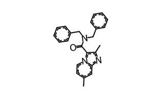 Cc1ccn2c(C(=O)N(Cc3ccccc3)Cc3ccccc3)c(C)nc2c1